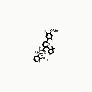 COc1cc(F)c(-c2ccc(C(=O)NS(=O)(=O)c3cccnc3N)c(C3C[C@@H](C)CC3(C)C)n2)cc1F